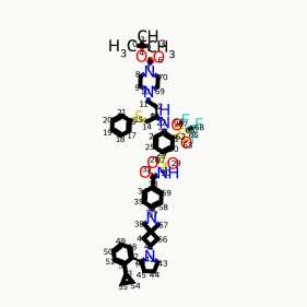 CC(C)(C)OC(=O)N1CCN(CC[C@H](CSc2ccccc2)Nc2ccc(S(=O)(=O)NC(=O)c3ccc(N4CC5(CC(N6CCC[C@H]6c6ccccc6C6CC6)C5)C4)cc3)cc2S(=O)(=O)C(F)(F)F)CC1